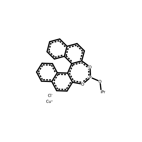 CC(C)Op1oc2ccc3ccccc3c2c2c(ccc3ccccc32)o1.[Cl-].[Cu+]